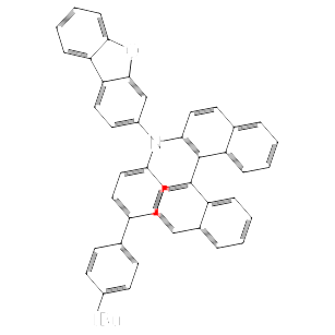 CC(C)(C)c1ccc(-c2ccc(N(c3ccc4c(c3)oc3ccccc34)c3ccc4ccccc4c3-c3cccc4ccccc34)cc2)cc1